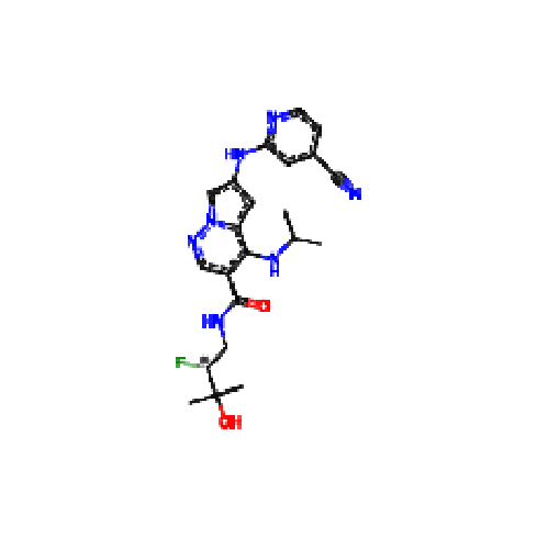 CC(C)Nc1c(C(=O)NC[C@@H](F)C(C)(C)O)cnn2cc(Nc3cc(C#N)ccn3)cc12